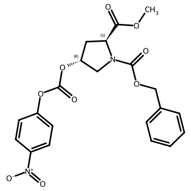 COC(=O)[C@@H]1C[C@@H](OC(=O)Oc2ccc([N+](=O)[O-])cc2)CN1C(=O)OCc1ccccc1